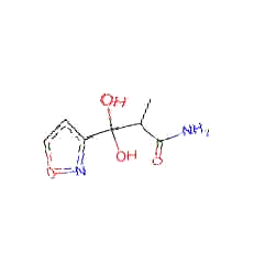 CC(C(N)=O)C(O)(O)c1ccon1